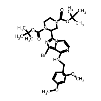 COc1ccc(CNc2nccn3c(C4CN(C(=O)OC(C)(C)C)CCN4C(=O)OC(C)(C)C)nc(Br)c23)c(OC)c1